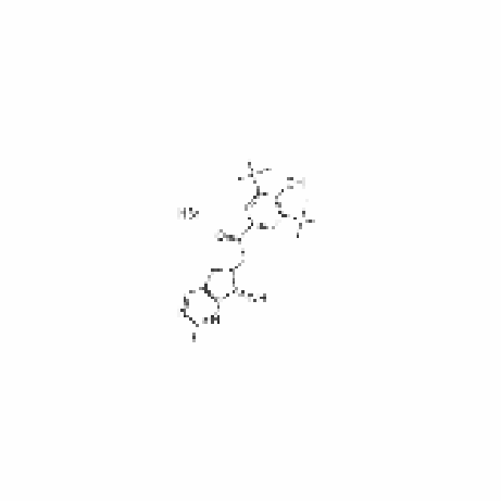 Br.Cc1ncc2c(n1)C(=N)N(CC(=O)c1cc(C(C)(C)C)c(O)c(C(C)(C)C)c1)C2